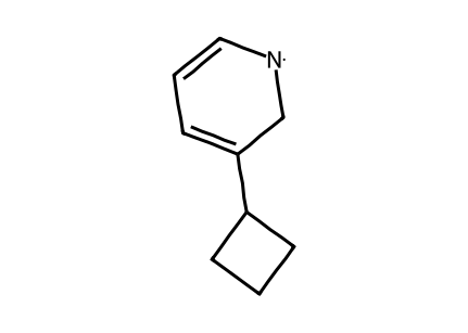 C1=C[N]CC(C2CCC2)=C1